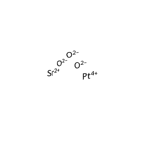 [O-2].[O-2].[O-2].[Pt+4].[Sr+2]